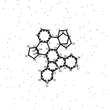 c1cc2c3c(c1)C14CCC5(CCC1(C5)c1c-3c(c3c5ccncc5n5c6cnccc6c1c35)C13CCCC21CCC3)C4